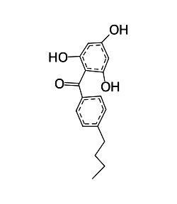 CCCCc1ccc(C(=O)c2c(O)cc(O)cc2O)cc1